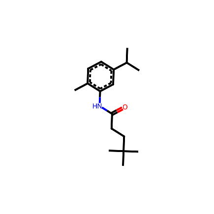 Cc1ccc(C(C)C)cc1NC(=O)CCC(C)(C)C